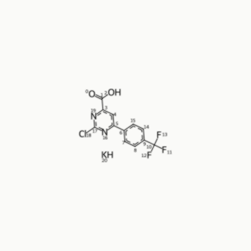 O=C(O)c1cc(-c2ccc(C(F)(F)F)cc2)nc(Cl)n1.[KH]